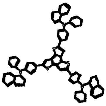 c1ccc(N(c2ccc(-c3cc4c(s3)c3cc(-c5ccc(N(c6ccccc6)c6cccc7ccccc67)cc5)sc3c3cc(-c5ccc(N(c6ccccc6)c6cccc7ccccc67)cc5)sc43)cc2)c2cccc3ccccc23)cc1